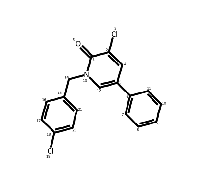 O=c1c(Cl)cc(-c2ccccc2)cn1Cc1ccc(Cl)cc1